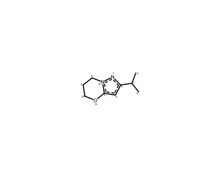 CC(C)c1cc2n(n1)CCCO2